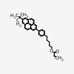 C=CC(=O)OCCCCCc1ccc(-c2cc3ccc4cc(C(C)(C)C)cc5ccc(c2)c3c45)cc1